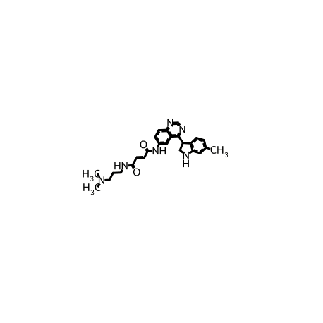 Cc1ccc2c(c1)NCC2c1ncnc2ccc(NC(=O)C=CC(=O)NCCCN(C)C)cc12